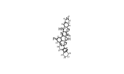 CN1Cc2ccc(Nc3nc(-c4cc(F)cc(N5CCc6c(sc7c6CCCC7)C5=O)c4CO)cn(C)c3=O)cc2C1